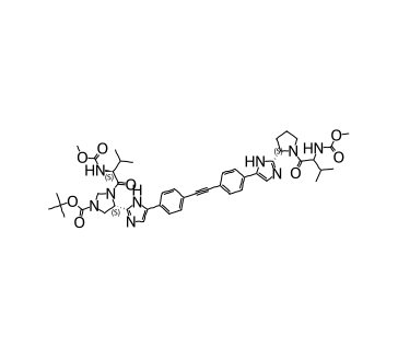 COC(=O)NC(C(=O)N1CCC[C@H]1c1ncc(-c2ccc(C#Cc3ccc(-c4cnc([C@@H]5CN(C(=O)OC(C)(C)C)CN5C(=O)[C@@H](NC(=O)OC)C(C)C)[nH]4)cc3)cc2)[nH]1)C(C)C